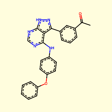 CC(=O)c1cccc(-c2n[nH]c3ncnc(Nc4ccc(Oc5ccccc5)cc4)c23)c1